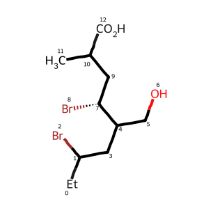 CCC(Br)CC(CO)[C@H](Br)CC(C)C(=O)O